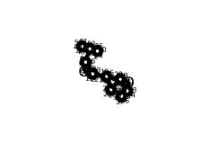 c1ccc2c(-c3ccc4oc5ccc(-c6ccc7c(c6)c6ccccc6c6c7ccc7oc8ccc9ccccc9c8c76)cc5c4c3)c3ccccc3cc2c1